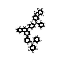 C1=CC(c2cccc(N(c3ccccc3)c3ccccc3)c2)Cc2c1c(-c1ccc(N(c3ccccc3)c3ccc4oc5ccccc5c4c3)cc1)cc1ccccc21